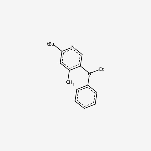 CCN(c1ccccc1)c1cnc(C(C)(C)C)cc1C